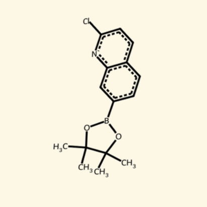 CC1(C)OB(c2ccc3ccc(Cl)nc3c2)OC1(C)C